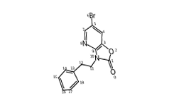 O=c1oc2cc(Br)cnc2n1CCc1ccccc1